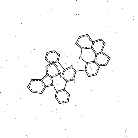 c1ccc(-c2nc(-c3ccccc3-n3c4ccccc4c4ccccc43)nc(-c3ccc4ccc5ccc6cccc7c6c5c4c3O7)n2)cc1